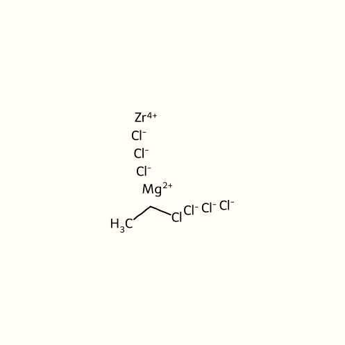 CCCl.[Cl-].[Cl-].[Cl-].[Cl-].[Cl-].[Cl-].[Mg+2].[Zr+4]